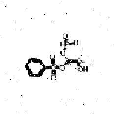 C[C@H](O)[C@@H](O[PH](=O)O)OS(=O)(=O)c1ccccc1